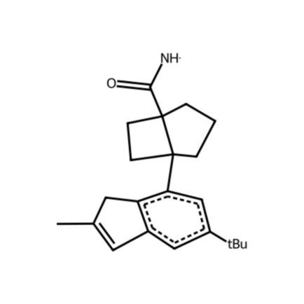 CC1=Cc2cc(C(C)(C)C)cc(C34CCCC3(C([NH])=O)CC4)c2C1